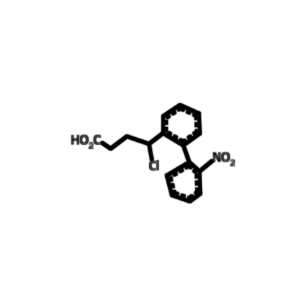 O=C(O)CCC(Cl)c1ccccc1-c1ccccc1[N+](=O)[O-]